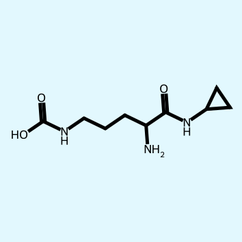 NC(CCCNC(=O)O)C(=O)NC1CC1